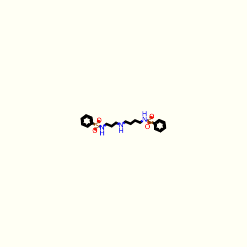 O=S(=O)(NCCCCNCCCNS(=O)(=O)c1ccccc1)c1ccccc1